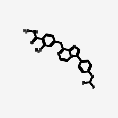 CNC(=O)c1ccc(Cc2nccn3c(-c4ccc(OC(F)F)cc4)cnc23)cc1C